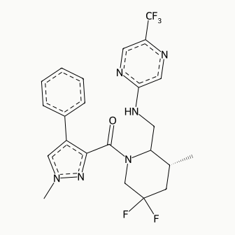 C[C@@H]1CC(F)(F)CN(C(=O)c2nn(C)cc2-c2ccccc2)C1CNc1cnc(C(F)(F)F)cn1